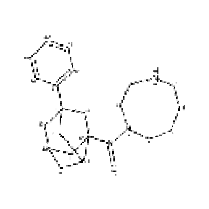 O=C(N1CCCCNCC1)C12CC3CC1CC(c1ccccc1)(C3)C2